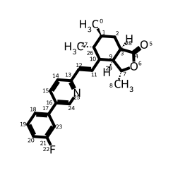 C[C@H]1C[C@H]2C(=O)O[C@H](C)[C@H]2C(/C=C/c2ccc(-c3cccc(F)c3)cn2)[C@@H]1C